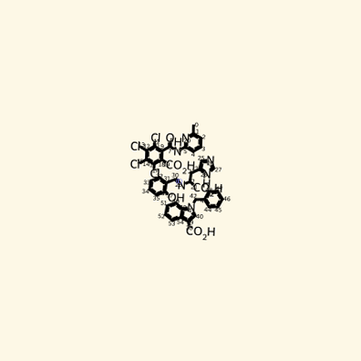 Cc1cccc(NC(=O)c2c(Cl)c(Cl)c(Cl)c(Cl)c2C(=O)O)n1.O=C(O)C(Cc1cnc[nH]1)/N=C/c1ccccc1O.O=C(O)c1cn(Cc2ccccc2)c2ccccc12